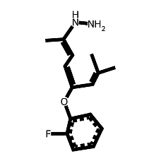 CC(C)=C/C(=C\C=C(/C)NN)Oc1ccccc1F